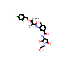 CN/C(OCc1ccc(F)cc1F)=C(/Cl)C(=O)Nc1cc(C(=O)NC2CC(=O)N(CCO)C2=O)ccc1C